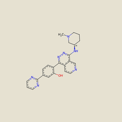 CN1CCC[C@@H](Nc2nnc(-c3ccc(-c4ncccn4)cc3O)c3ccncc23)C1